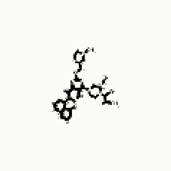 C=C(F)C(=O)N1CCN(c2nc(OCC3CN(C)CCO3)nc3c(F)c(-c4cccc5cccc(Cl)c45)ncc23)C[C@@H]1CC#N